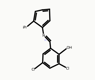 CC(C)c1ccccc1/N=C/c1cc(Cl)cc(Cl)c1O